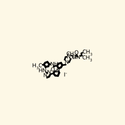 CCC(C)NC(=O)OC[N+]1(C)CCN(Cc2ccc(C(=O)Nc3ccc(C)c(Nc4nccc(-c5cccnc5)n4)c3)cc2)CC1.[I-]